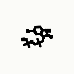 CC(C)(CO[Si](C)(C)C(C)(C)C)Cn1c(=O)[nH]c2ccc(Br)cc21